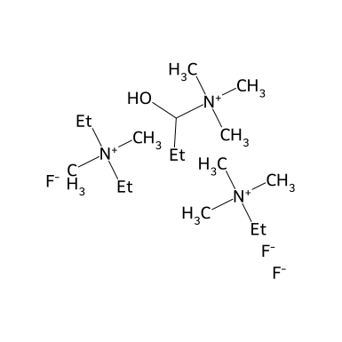 CCC(O)[N+](C)(C)C.CC[N+](C)(C)C.CC[N+](C)(C)CC.[F-].[F-].[F-]